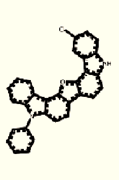 Clc1ccc2[nH]c3ccc4c5ccc6c(c7ccccc7n6-c6ccccc6)c5oc4c3c2c1